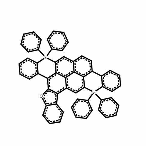 c1ccc([Si]2(c3ccccc3)c3ccccc3-c3ccc4cc5c6c(c7oc8ccccc8c7c7cc2c3c4c67)-c2ccccc2[Si]5(c2ccccc2)c2ccccc2)cc1